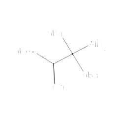 CCCCCCC(CCCC)[C]([AlH2])(CCCC)CCCC